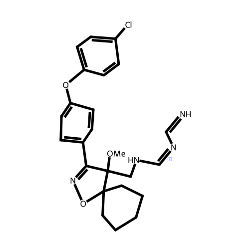 COC1(CN/C=N\C=N)C(c2ccc(Oc3ccc(Cl)cc3)cc2)=NOC12CCCCC2